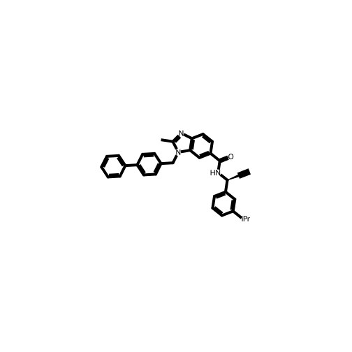 C#C[C@H](NC(=O)c1ccc2nc(C)n(Cc3ccc(-c4ccccc4)cc3)c2c1)c1cccc(C(C)C)c1